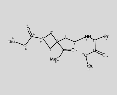 COC(=O)C1(CCNC(C(=O)OC(C)(C)C)C(C)C)CN(C(=O)OC(C)(C)C)C1